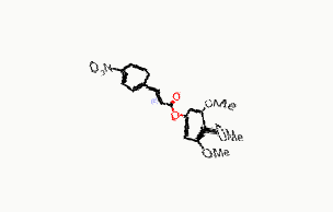 COc1cc(OC(=O)/C=C/c2ccc([N+](=O)[O-])cc2)cc(OC)c1OC